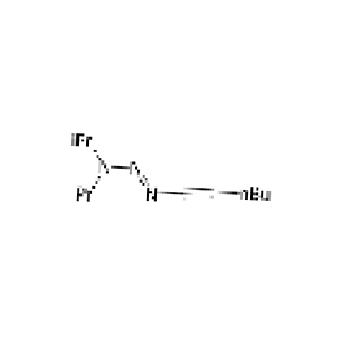 CCCCC#CN=NN(C(C)C)C(C)C